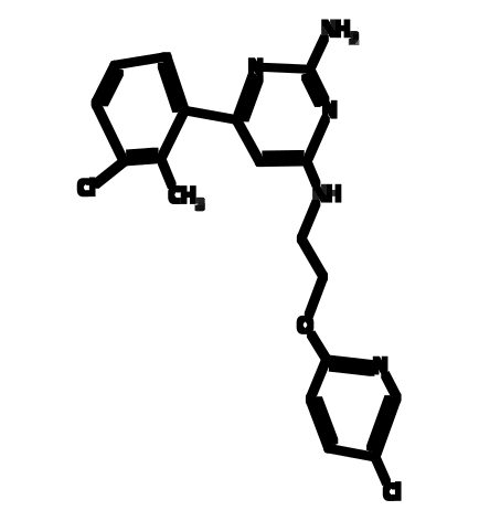 Cc1c(Cl)cccc1-c1cc(NCCOc2ccc(Cl)cn2)nc(N)n1